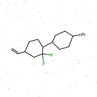 C=CC1CCC(C2CCC(CCC)CC2)C(F)(F)C1